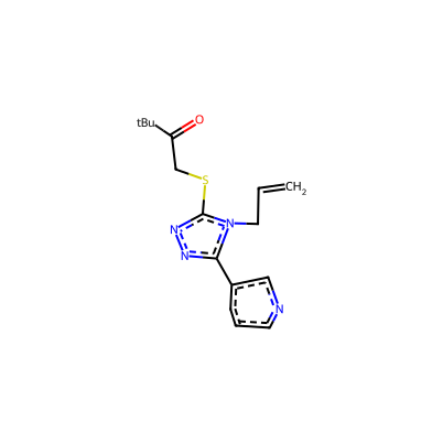 C=CCn1c(SCC(=O)C(C)(C)C)nnc1-c1cccnc1